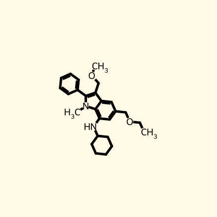 CCOCc1cc(NC2CCCCC2)c2c(c1)c(COC)c(-c1ccccc1)n2C